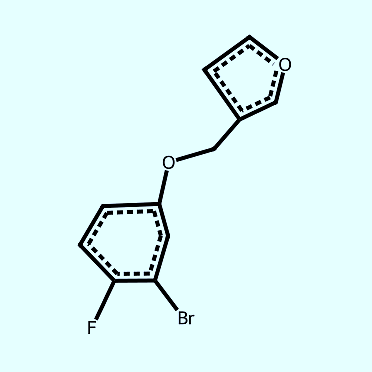 Fc1ccc(OCc2ccoc2)cc1Br